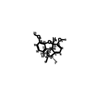 COC1=CC=C2[C@H](C)N(C)CC[C@@]23c2c(C)ccc(OC)c2O[C@H]13